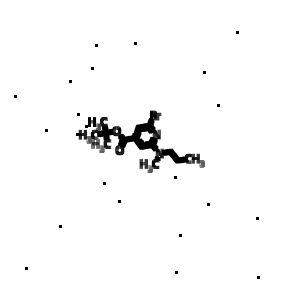 CCCN(C)c1cc(C(=O)OC(C)(C)C)cc(Br)n1